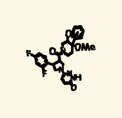 COC1CN(C(=O)C2CN(c3ccc(=O)[nH]n3)CC2c2ccc(F)cc2F)CCC1(OC)c1ccccc1